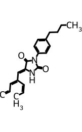 C=C/C=C(\C=C/C)/C=C1\NC(=O)N(c2ccc(CCCC)cc2)C1=O